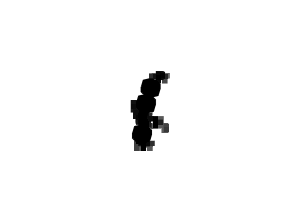 CCCc1ccc(C(C)OC(F)(F)c2ccc(C3CCC(CCC)CC3)cc2F)cc1